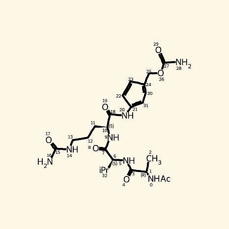 CC(=O)N[C@H](C)C(=O)N[C@H](C(=O)N[C@@H](CCCNC(N)=O)C(=O)Nc1ccc(COC(N)=O)cc1)C(C)C